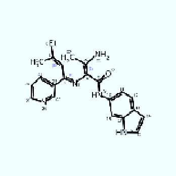 CC/C(C)=C/C(=N\C(C(=O)Nc1ccc2cc[nH]c2c1)=C(/C)N)c1cccnc1